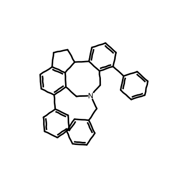 c1ccc(CN2Cc3c(-c4ccccc4)cccc3C3CCc4ccc(-c5ccccc5)c(c43)C2)cc1